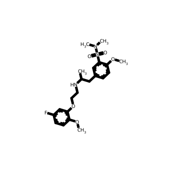 COc1ccc(F)cc1OCCNC(C)Cc1ccc(OC)c(S(=O)(=O)N(C)C)c1